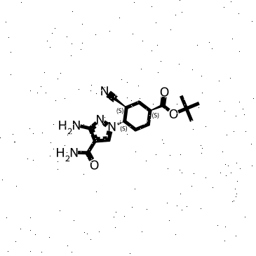 CC(C)(C)OC(=O)[C@H]1CC[C@H](n2cc(C(N)=O)c(N)n2)[C@@H](C#N)C1